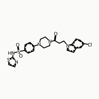 O=C(CCn1ccc2cc(Cl)ccc21)N1CCN(c2ccc(S(=O)(=O)Nc3nccs3)cc2)CC1